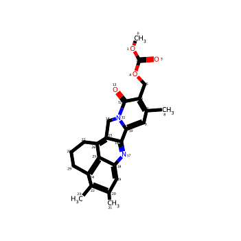 COC(=O)OCc1c(C)cc2n(c1=O)Cc1c-2nc2cc(C)c(C)c3c2c1CCC3